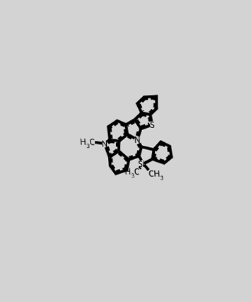 Cn1c2cccc3c4c(n5c6sc7ccccc7c6c6ccc1c(c32)c65)-c1ccccc1[Si]4(C)C